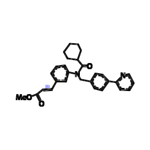 COC(=O)/C=C/c1cccc(N(Cc2ccc(-c3ccccn3)cc2)C(=O)C2CCCCC2)c1